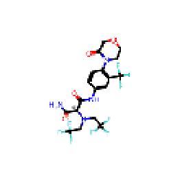 NC(=O)[C@@H](C(=O)Nc1ccc(N2CCOCC2=O)c(C(F)(F)F)c1)N(CC(F)(F)F)CC(F)(F)F